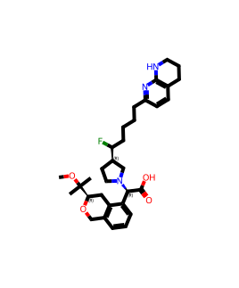 COC(C)(C)[C@H]1Cc2c(cccc2[C@H](C(=O)O)N2CC[C@@H](C(F)CCCCc3ccc4c(n3)NCCC4)C2)CO1